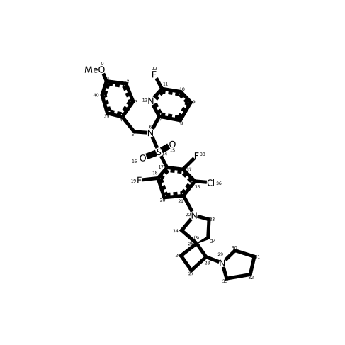 COc1ccc(CN(c2cccc(F)n2)S(=O)(=O)c2c(F)cc(N3CC[C@@]4(CCC4N4CCCC4)C3)c(Cl)c2F)cc1